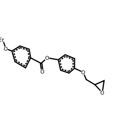 CCOc1ccc(C(=O)Oc2ccc(OCC3CO3)cc2)cc1